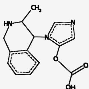 CC1NCc2ccccc2C1n1cncc1OC(=O)O